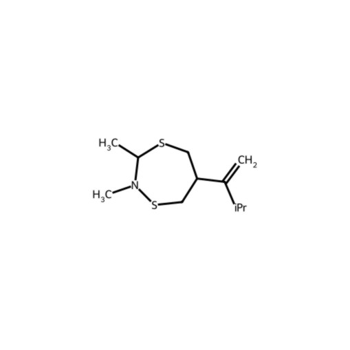 C=C(C(C)C)C1CSC(C)N(C)SC1